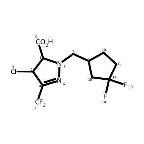 O=C(O)C1C(Cl)C(C(F)(F)F)=NN1CC1CCC(F)(F)C1